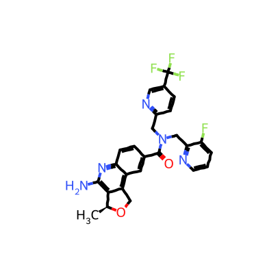 C[C@@H]1OCc2c1c(N)nc1ccc(C(=O)N(Cc3ccc(C(F)(F)F)cn3)Cc3ncccc3F)cc21